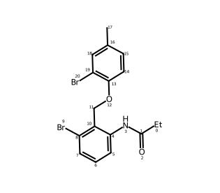 CCC(=O)Nc1cccc(Br)c1COc1ccc(C)cc1Br